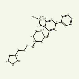 FC1=CC(c2ccccc2)C=C(F)C1(OC(F)F)[C@H]1CC[C@H](CCCCC2CCCC2)CC1